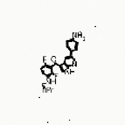 CCCSNc1ccc(F)c(C(=O)c2c[nH]c3ncc(-c4ccc(N)cc4)cc23)c1F